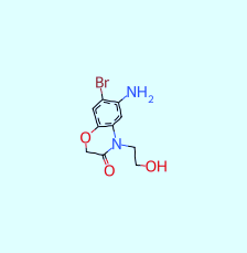 Nc1cc2c(cc1Br)OCC(=O)N2CCO